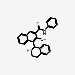 O=C(Nc1ccccc1)c1cc2ccccc2c(C2NCCc3ccccc32)c1O